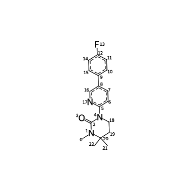 CN1C(=O)N(c2ccc(-c3ccc(F)cc3)cn2)CCC1(C)C